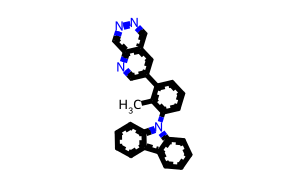 Cc1c(-c2cnc3cnncc3c2)cccc1-n1c2ccccc2c2ccccc21